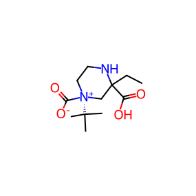 CCC1(C(=O)O)C[N@+](C(=O)[O-])(C(C)(C)C)CCN1